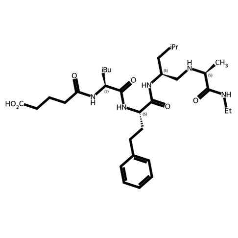 CCNC(=O)[C@H](C)NC[C@H](CC(C)C)NC(=O)[C@H](CCc1ccccc1)NC(=O)[C@@H](NC(=O)CCCC(=O)O)C(C)CC